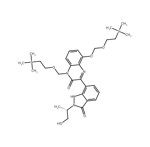 C[C@@H](CO)n1[nH]c2c(-c3nc4c(OCOCC[Si](C)(C)C)cccc4n(COCC[Si](C)(C)C)c3=O)cccc2c1=O